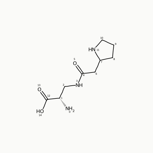 N[C@@H](CNC(=O)CC1CCCN1)C(=O)O